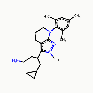 Cc1cc(C)c(N2CCCc3c2nn(C)c3C(CCN)CC2CC2)c(C)c1